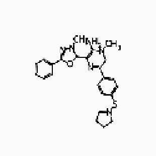 CN1CC(c2ccc(SN3CCCC3)cc2)=NC(C2OC(c3ccccc3)=NN2C)=C1N